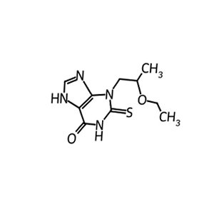 CCOC(C)Cn1c(=S)[nH]c(=O)c2[nH]cnc21